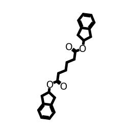 O=C(CCCCC(=O)OC1Cc2ccccc2C1)OC1Cc2ccccc2C1